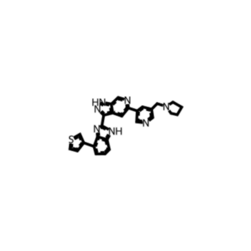 c1cc(-c2ccsc2)c2nc(-c3n[nH]c4cnc(-c5cncc(CN6CCCC6)c5)cc34)[nH]c2c1